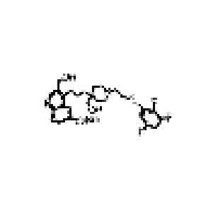 COc1ccc2ncc(CO)c(CCCC3(CO)CCN(CCSc4cc(F)cc(F)c4F)CC3)c2c1